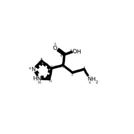 NCCC(C(=O)O)c1cn[nH]c1